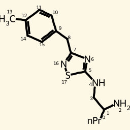 CCCC(N)CNc1nc(Cc2ccc(C)cc2)ns1